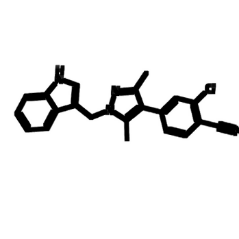 Cc1nn(Cc2c[nH]c3ccccc23)c(C)c1-c1ccc(C#N)c(Cl)c1